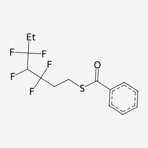 CCC(F)(F)C(F)C(F)(F)CCSC(=O)c1ccccc1